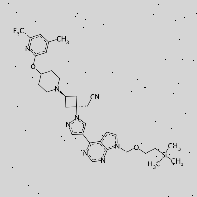 Cc1cc(OC2CCN([C@H]3C[C@@](CC#N)(n4cc(-c5ncnc6c5ccn6COCC[Si](C)(C)C)cn4)C3)CC2)nc(C(F)(F)F)c1